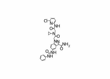 NC(=O)c1nn(CC(=O)N(CC(=O)Nc2cccc(Cl)n2)C2CC2)c2ccc(NC(=O)Nc3ccccc3)cc12